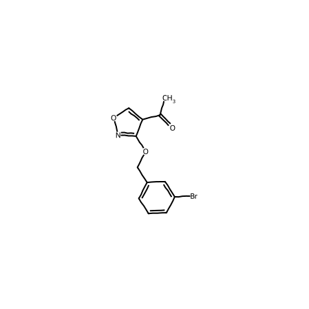 CC(=O)c1conc1OCc1cccc(Br)c1